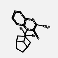 CCC(CC)N1C2CCC1CC(n1c(=O)c(C(=O)O)nc3ccccc31)C2